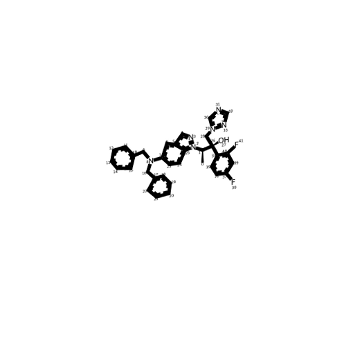 C[C@@H](n1ncc2cc(N(Cc3ccccc3)Cc3ccccc3)ccc21)[C@](O)(Cn1cncn1)c1ccc(F)cc1F